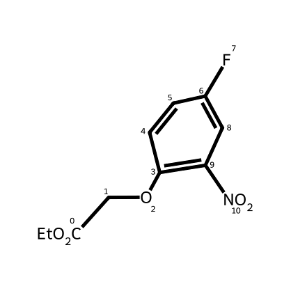 CCOC(=O)COc1ccc(F)cc1[N+](=O)[O-]